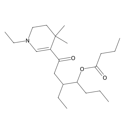 CCCC(=O)OC(CCC)C(CC)CC(=O)C1=CN(CC)CCC1(C)C